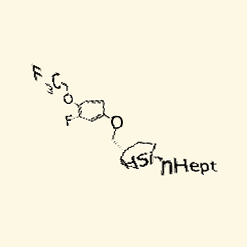 CCCCCCC[Si@H]1CC[C@H](COc2ccc(OCC(F)(F)F)c(F)c2)CC1